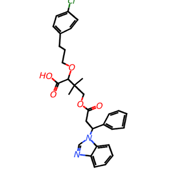 CC(C)(COC(=O)CC(c1ccccc1)n1cnc2ccccc21)C(OCCCc1ccc(Cl)cc1)C(=O)O